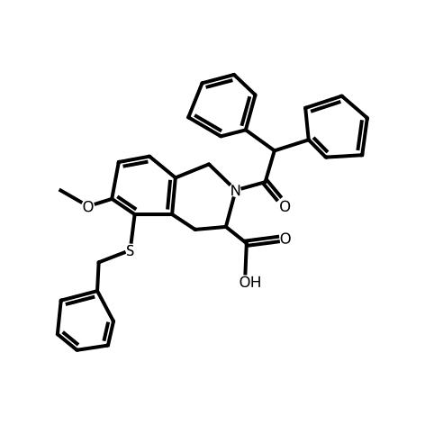 COc1ccc2c(c1SCc1ccccc1)CC(C(=O)O)N(C(=O)C(c1ccccc1)c1ccccc1)C2